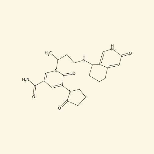 CC(CCNC1CCCc2cc(=O)[nH]cc21)n1cc(C(N)=O)cc(N2CCCC2=O)c1=O